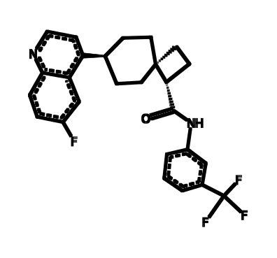 O=C(Nc1cccc(C(F)(F)F)c1)[C@H]1CC[C@]12CC[C@H](c1ccnc3ccc(F)cc31)CC2